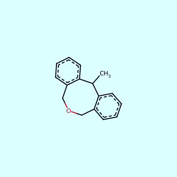 CC1c2ccccc2COCc2ccccc21